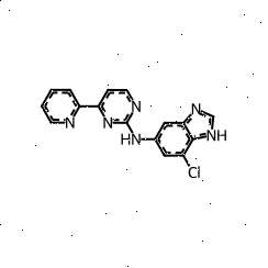 Clc1cc(Nc2nccc(-c3ccccn3)n2)cc2nc[nH]c12